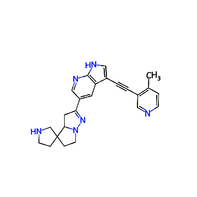 Cc1ccncc1C#Cc1c[nH]c2ncc(C3=NN4CCC5(CCNC5)C4C3)cc12